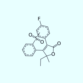 CCC1(C)OC(=O)C(c2ccc(F)cc2)=C1c1ccccc1S(C)(=O)=O